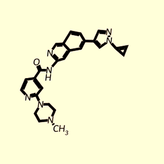 CN1CCN(c2cc(C(=O)Nc3cc4cc(-c5cnn(C6=CC6)c5)ccc4cn3)ccn2)CC1